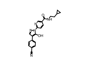 N#Cc1ccc(-c2cnn(-c3ccc(C(=O)NCCC4CC4)cn3)c2O)cc1